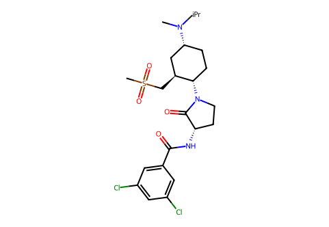 CC(C)N(C)[C@@H]1CC[C@H](N2CC[C@H](NC(=O)c3cc(Cl)cc(Cl)c3)C2=O)[C@@H](CS(C)(=O)=O)C1